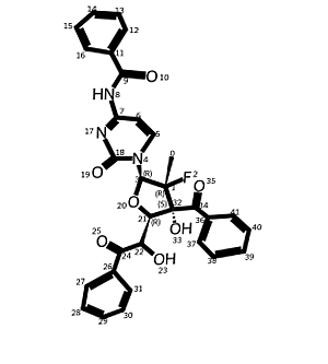 C[C@]1(F)[C@H](n2ccc(NC(=O)c3ccccc3)nc2=O)O[C@H](C(O)C(=O)c2ccccc2)[C@]1(O)C(=O)c1ccccc1